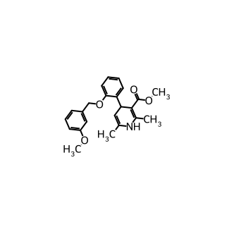 COC(=O)C1=C(C)NC(C)=CC1c1ccccc1OCc1cccc(OC)c1